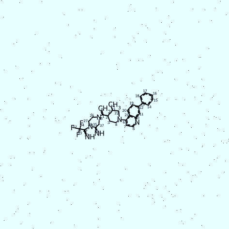 C=C(C1CCN(c2ccnc3cc(-c4ccccc4)ccc23)CC1C)N1CCN(C(=N)C(F)(F)F)C(=N)C1